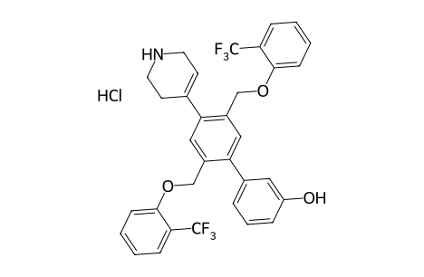 Cl.Oc1cccc(-c2cc(COc3ccccc3C(F)(F)F)c(C3=CCNCC3)cc2COc2ccccc2C(F)(F)F)c1